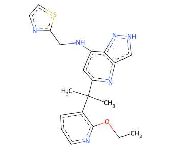 CCOc1ncccc1C(C)(C)c1cc(NCc2nccs2)c2n[nH]cc2n1